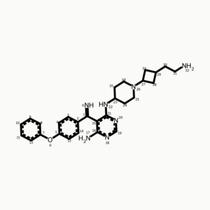 N=C(c1ccc(Oc2ccccc2)cc1)c1c(N)ncnc1NC1CCN(C2CC(CCN)C2)CC1